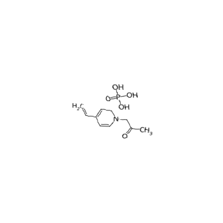 C=CC1=CCN(CC(C)=O)C=C1.O=P(O)(O)O